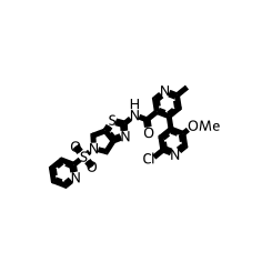 COc1cnc(Cl)cc1-c1cc(C)ncc1C(=O)Nc1nc2c(s1)CN(S(=O)(=O)c1ccccn1)C2